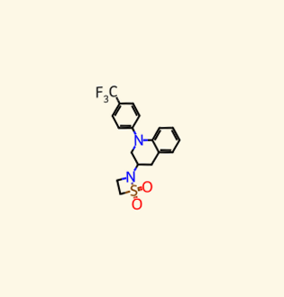 O=S1(=O)CCN1C1Cc2ccccc2N(c2ccc(C(F)(F)F)cc2)C1